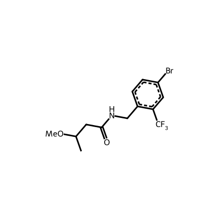 COC(C)CC(=O)NCc1ccc(Br)cc1C(F)(F)F